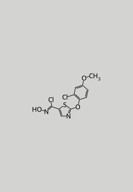 COc1ccc(Oc2ncc(/C(Cl)=N/O)s2)c(Cl)c1